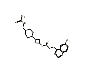 O=C(CNc1ncnc2ccc(C(F)(F)F)cc12)NC1CN(C2CCC(CNC(=O)C(F)(F)F)CC2)C1